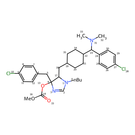 CCCCN1C=NC(Cc2ccc(Cl)cc2)(OC(=O)OC)C1CC1CCC(C(c2ccc(Cl)cc2)N(C)C)CC1